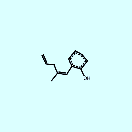 C=CCC(C)=Cc1ccccc1O